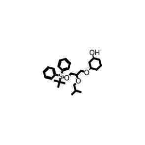 CC(C)COC(CO[C@@H]1CCC[C@H](O)C1)CO[Si](c1ccccc1)(c1ccccc1)C(C)(C)C